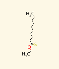 CCCCCCCCCC(=S)OCC